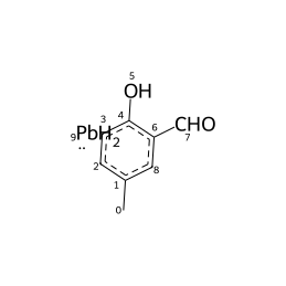 Cc1ccc(O)c(C=O)c1.[PbH2]